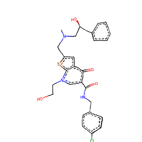 CN(Cc1cc2c(=O)c(C(=O)NCc3ccc(Cl)cc3)cn(CCO)c2s1)C[C@@H](O)c1ccccc1